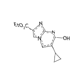 CCOC(=O)c1cn2cc(C3CC3)c(O)nc2n1